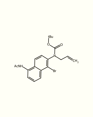 C=CCN(C(=O)OC(C)(C)C)c1ccc2c(NC(C)=O)cccc2c1Br